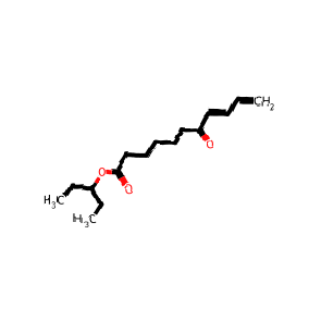 C=C/C=C/C(=O)CCCCCC(=O)OC(CC)CC